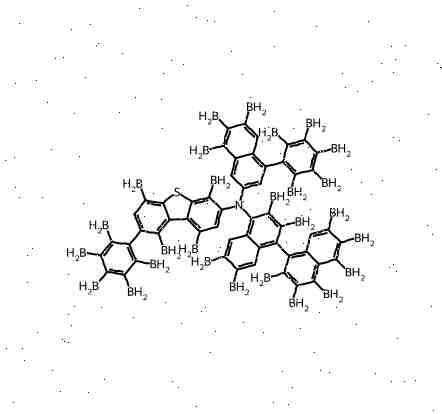 Bc1cc2c(-c3c(B)c(B)c(B)c4c(B)c(B)c(B)cc34)c(B)c(B)c(N(c3cc(-c4c(B)c(B)c(B)c(B)c4B)c4cc(B)c(B)c(B)c4c3)c3cc(B)c4c(sc5c(B)cc(-c6c(B)c(B)c(B)c(B)c6B)c(B)c54)c3B)c2cc1B